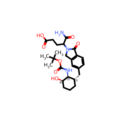 CC(C)(C)OC(=O)N[C@H]1[C@H](Cc2ccc3c(c2)CN(C(CCC(=O)O)C(N)=O)C3=O)CCC[C@H]1O